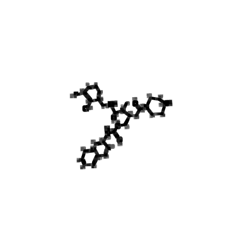 CN(C(=O)NCc1cccc(F)c1Cl)[C@H](COC(=O)Nc1cc2ccccc2cn1)CC(=O)N1CCNCC1